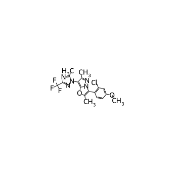 COc1ccc(-c2c(C)oc3c(-n4nc(C(F)(F)F)nc4C)c(C)nn23)c(Cl)c1